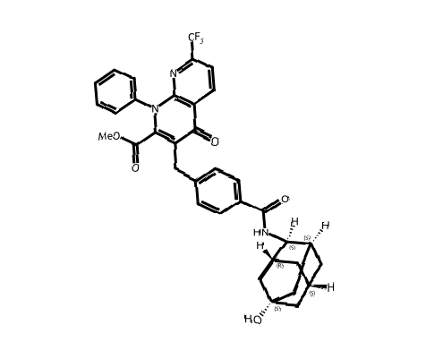 COC(=O)c1c(Cc2ccc(C(=O)N[C@@H]3[C@@H]4C[C@@H]5C[C@H]3C[C@@](O)(C5)C4)cc2)c(=O)c2ccc(C(F)(F)F)nc2n1-c1ccccc1